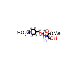 COC(=O)C(CO)NC(=O)OCC1CCN(C(=O)O)CC1